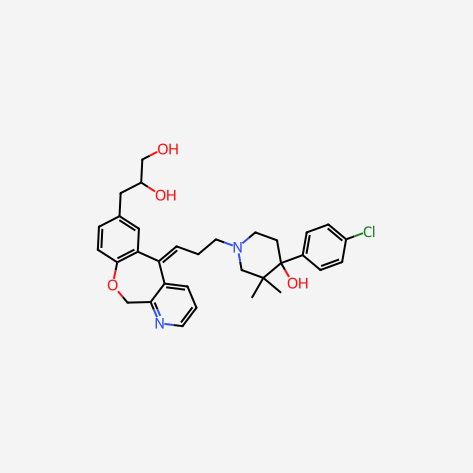 CC1(C)CN(CCC=C2c3cc(CC(O)CO)ccc3OCc3ncccc32)CCC1(O)c1ccc(Cl)cc1